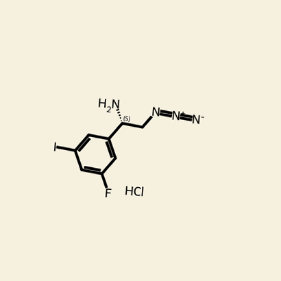 Cl.[N-]=[N+]=NC[C@@H](N)c1cc(F)cc(I)c1